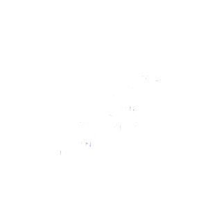 CCOC(=O)C1=CN(C2CC2)c2c(ccc(-c3ccc(C)nc3)c2C)C1=C=O